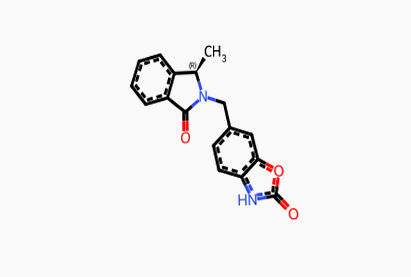 C[C@@H]1c2ccccc2C(=O)N1Cc1ccc2[nH]c(=O)oc2c1